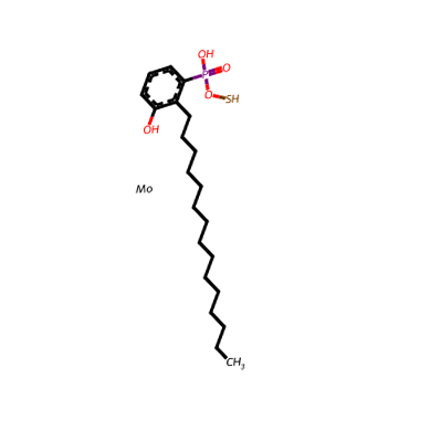 CCCCCCCCCCCCCCCc1c(O)cccc1P(=O)(O)OS.[Mo]